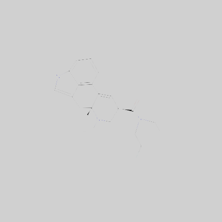 CCN(CCF)C(=O)[C@@H]1C=C2c3cccc4[nH]cc(c34)C[C@H]2N(C)C1